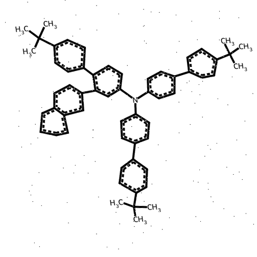 CC(C)(C)c1ccc(-c2ccc(N(c3ccc(-c4ccc(C(C)(C)C)cc4)cc3)c3ccc(-c4ccc(C(C)(C)C)cc4)c(-c4ccc5ccccc5c4)c3)cc2)cc1